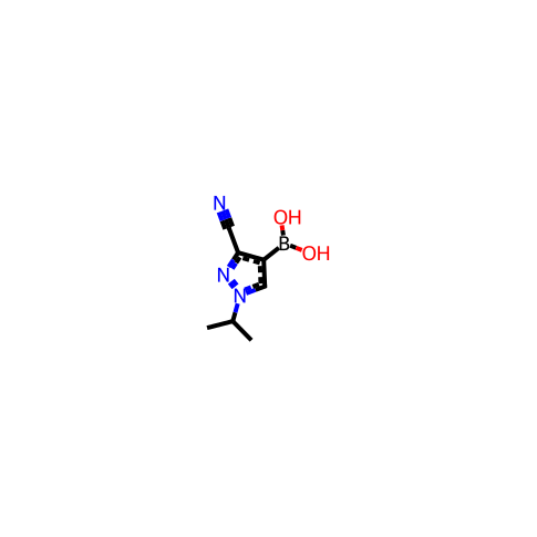 CC(C)n1cc(B(O)O)c(C#N)n1